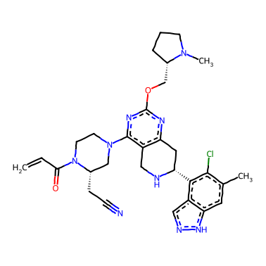 C=CC(=O)N1CCN(c2nc(OC[C@@H]3CCCN3C)nc3c2CN[C@@H](c2c(Cl)c(C)cc4[nH]ncc24)C3)C[C@@H]1CC#N